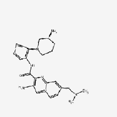 CN(C)Cc1ccc2cc(N)c(C(=O)Nc3cnccc3N3CCC[C@H](N)C3)nc2c1